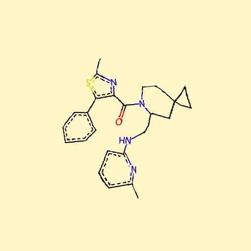 Cc1cccc(NCC2CC3(CCN2C(=O)c2nc(C)sc2-c2ccccc2)CC3)n1